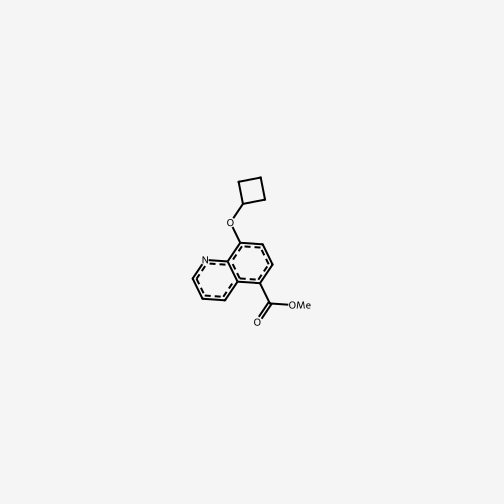 COC(=O)c1ccc(OC2CCC2)c2ncccc12